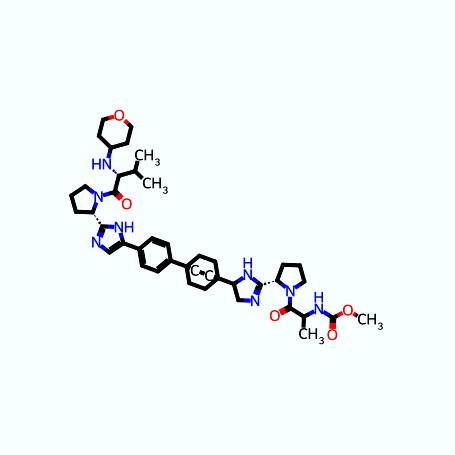 COC(=O)NC(C)C(=O)N1CCC[C@H]1C1=NCC(C23CCC(c4ccc(-c5cnc([C@@H]6CCCN6C(=O)[C@H](NC6CCOCC6)C(C)C)[nH]5)cc4)(CC2)CC3)N1